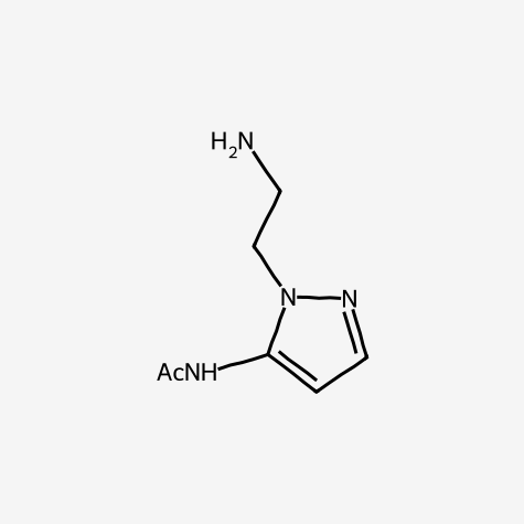 CC(=O)Nc1ccnn1CCN